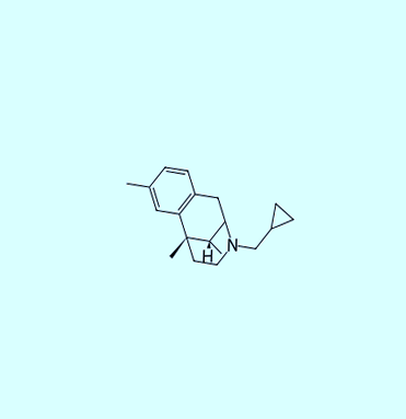 Cc1ccc2c(c1)[C@@]1(C)CCN(CC3CC3)C(C2)[C@@H]1C